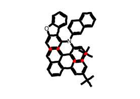 CC(C)(C)c1cc(-c2cccc3cccc(-c4ccccc4N(c4ccc5ccccc5c4)c4cccc5oc6ccccc6c45)c23)cc(C(C)(C)C)c1